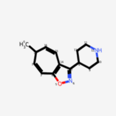 CC1C=Cc2onc(C3CCNCC3)c2C=C1